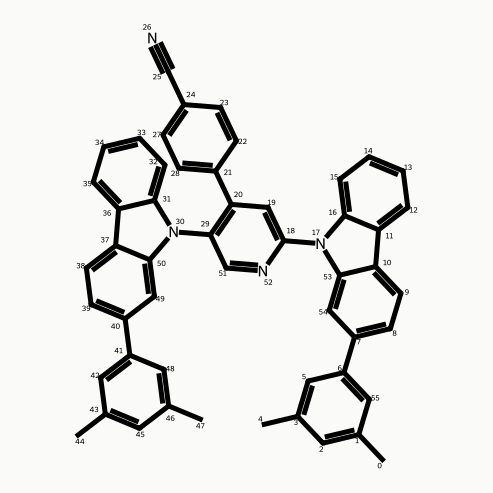 Cc1cc(C)cc(-c2ccc3c4ccccc4n(-c4cc(-c5ccc(C#N)cc5)c(-n5c6ccccc6c6ccc(-c7cc(C)cc(C)c7)cc65)cn4)c3c2)c1